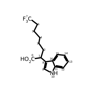 O=C(O)C(CCCCCC(F)(F)F)c1c[nH]c2ccccc12